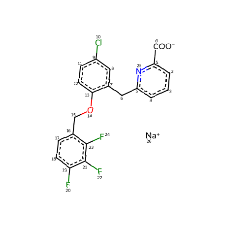 O=C([O-])c1cccc(Cc2cc(Cl)ccc2OCc2ccc(F)c(F)c2F)n1.[Na+]